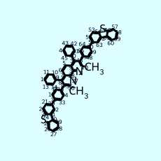 Cc1nc2c(ccc3c(-c4ccccc4)c(-c4ccc(-c5ccc6sc7ccccc7c6c5)cc4)c(C)nc32)c(-c2ccccc2)c1-c1ccc(-c2ccc3sc4ccccc4c3c2)cc1